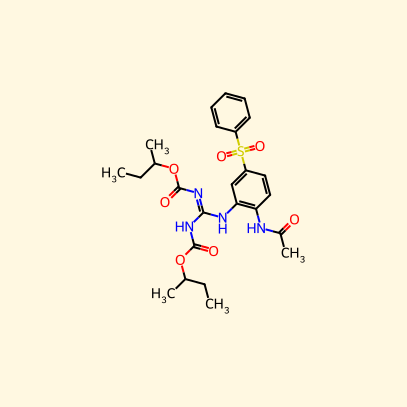 CCC(C)OC(=O)N=C(NC(=O)OC(C)CC)Nc1cc(S(=O)(=O)c2ccccc2)ccc1NC(C)=O